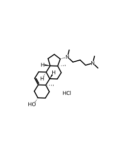 CN(C)CCCN(C)[C@H]1CC[C@H]2[C@@H]3CC=C4C[C@@H](O)CC[C@]4(C)[C@H]3CC[C@]12C.Cl